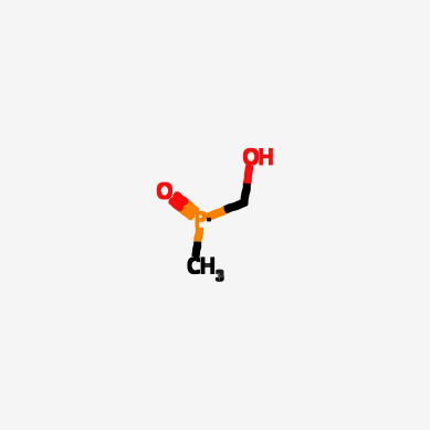 C[P](=O)CO